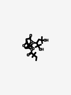 CCC(C)(C)C(=O)OC1C2OC(=O)C3C2OC1C3C(=O)OC(CC(C)(C)O)C(C)(C)O